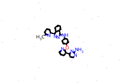 Cc1cccc(-c2nnc(Nc3ccc(Oc4ncccc4-c4ccnc(N)n4)cc3)c3ccccc23)n1